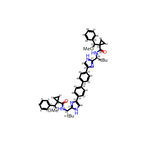 COC(c1ccccc1)C1(C(=O)N[C@H](c2nc(-c3ccc(-c4ccc(-c5c[nH]c([C@@H](NC(=O)C6(C(OC)c7ccccc7)CC6)C(C)(C)C)n5)cc4)cc3)c[nH]2)C(C)(C)C)CC1